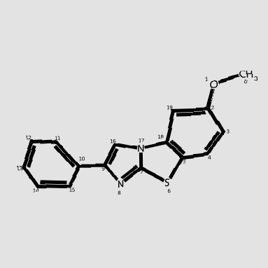 COc1ccc2sc3nc(-c4ccccc4)cn3c2c1